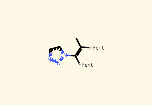 CCCCCC(C)=C(CCCCC)n1ccnn1